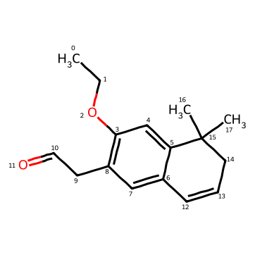 CCOc1cc2c(cc1CC=O)C=CCC2(C)C